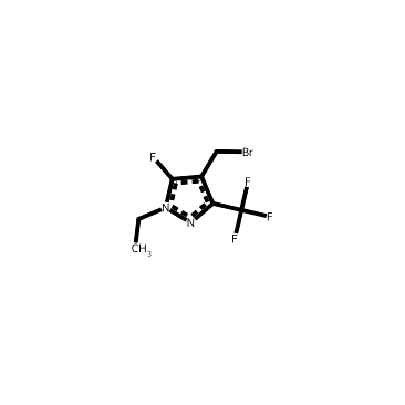 CCn1nc(C(F)(F)F)c(CBr)c1F